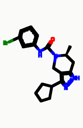 C[C@H]1Cc2[nH]nc(C3CCCC3)c2CN1C(=O)Nc1cccc(Br)c1